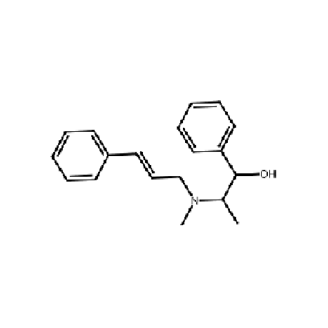 CC(C(O)c1ccccc1)N(C)CC=Cc1ccccc1